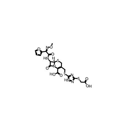 CO/N=C(\C(=O)NC1C(=O)N2C(C(=O)O)=C(CSc3nc(SCC(=O)O)n[nH]3)CS[C@@H]12)c1ccco1